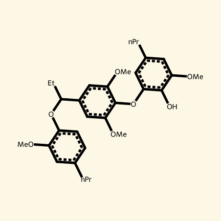 CCCc1ccc(OC(CC)c2cc(OC)c(Oc3cc(CCC)cc(OC)c3O)c(OC)c2)c(OC)c1